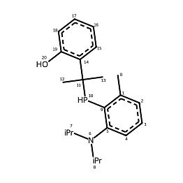 Cc1cccc(N(C(C)C)C(C)C)c1PC(C)(C)c1ccccc1O